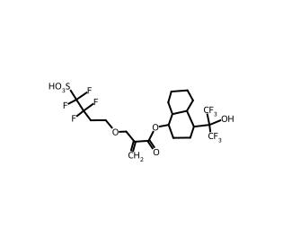 C=C(COCCC(F)(F)C(F)(F)S(=O)(=O)O)C(=O)OC1CCC(C(O)(C(F)(F)F)C(F)(F)F)C2CCCCC12